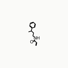 C=CC(=O)NCCC(C)c1ccccc1